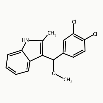 COC(c1ccc(Cl)c(Cl)c1)c1c(C)[nH]c2ccccc12